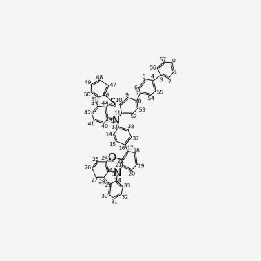 c1ccc(-c2ccc(-c3ccc(N(c4ccc(-c5cccc6c5Oc5cccc7c8ccccc8n-6c57)cc4)c4cccc5c4sc4ccccc45)cc3)cc2)cc1